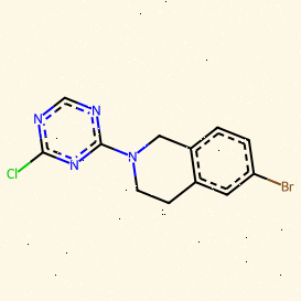 Clc1ncnc(N2CCc3cc(Br)ccc3C2)n1